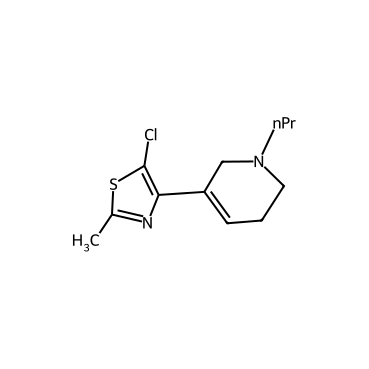 CCCN1CCC=C(c2nc(C)sc2Cl)C1